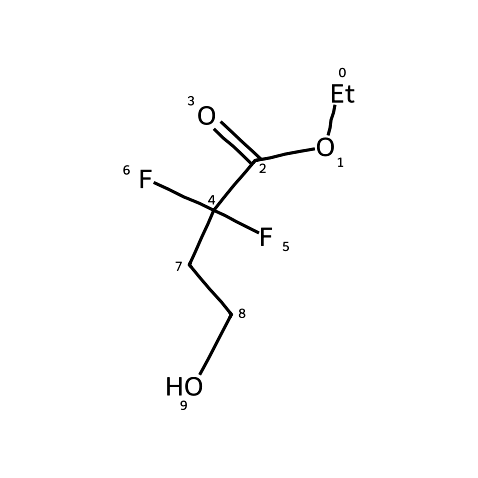 CCOC(=O)C(F)(F)CCO